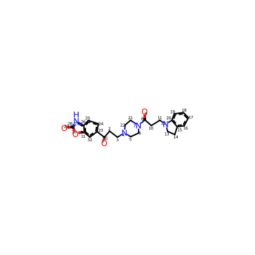 O=C(CCN1CCN(C(=O)CCN2CCc3ccccc32)CC1)c1ccc2[nH]c(=O)oc2c1